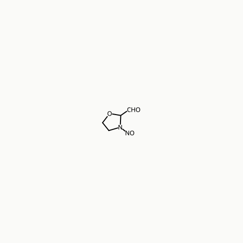 O=CC1OCCN1N=O